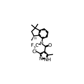 Cc1[nH]nc(Cl)c1C(=O)N(c1cccc2c1[C@@H](C)CC2(C)C)C(F)(F)F